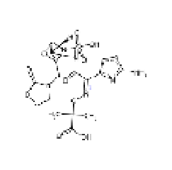 CC(C)(O/N=C(\C(=O)N[C@H]1C2OC1(CN1CCOC1=O)N2S(=O)(=O)O)c1csc(N)n1)C(=O)O